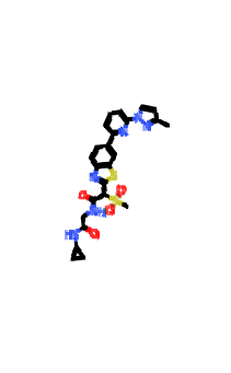 Cc1ccn(-c2cccc(-c3ccc4nc(C(C(=O)NCC(=O)NC5CC5)S(C)(=O)=O)sc4c3)n2)n1